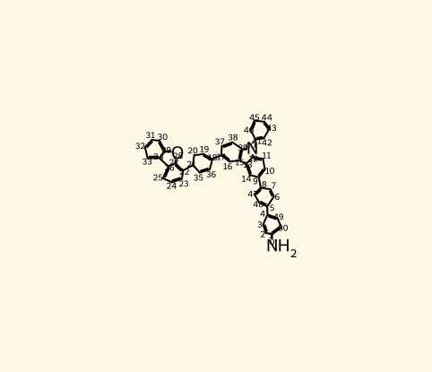 Nc1ccc(-c2ccc(-c3ccc4c(c3)c3cc(C5=CCC(c6cccc7c6oc6ccccc67)C=C5)ccc3n4-c3ccccc3)cc2)cc1